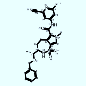 C[C@@H](OCc1ccccc1)[C@H]1CCc2c(cn(C)c2C(=O)Nc2cc(F)nc(C#N)c2)S(=N)(=O)N1